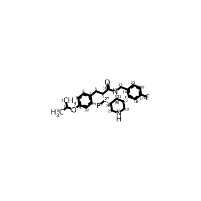 CC(C)Oc1ccc(CCC(=O)N(Cc2ccc(F)cc2)[C@@H]2CCNC[C@@H]2CF)cc1